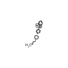 C=CCC[C@H]1CC[C@H](c2ccc(C(F)(OC)c3ccccc3)cc2)CC1